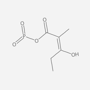 CCC(O)=C(C)C(=O)OP(=O)=O